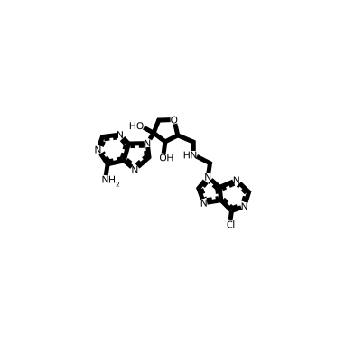 Nc1ncnc2c1ncn2C1(O)COC(CNCn2cnc3c(Cl)ncnc32)C1O